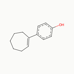 Oc1ccc(C2=CCCCCC2)cc1